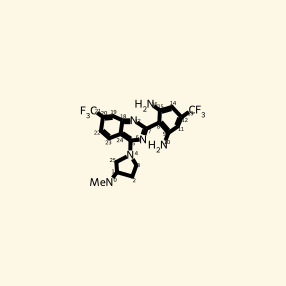 CNC1CCN(c2nc(-c3c(N)cc(C(F)(F)F)cc3N)nc3cc(C(F)(F)F)ccc23)C1